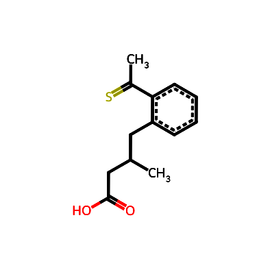 CC(=S)c1ccccc1CC(C)CC(=O)O